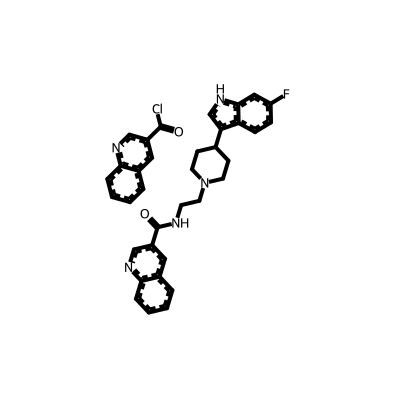 O=C(Cl)c1cnc2ccccc2c1.O=C(NCCN1CCC(c2c[nH]c3cc(F)ccc23)CC1)c1cnc2ccccc2c1